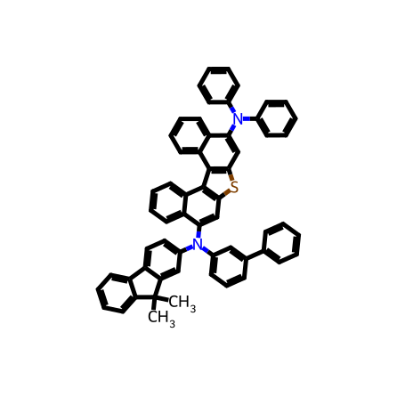 CC1(C)c2ccccc2-c2ccc(N(c3cccc(-c4ccccc4)c3)c3cc4sc5cc(N(c6ccccc6)c6ccccc6)c6ccccc6c5c4c4ccccc34)cc21